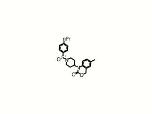 CCCc1ccc([S+]([O-])N2CCC(N3C(=O)OCc4cc(C)ccc43)CC2)cc1